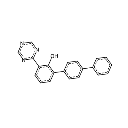 Oc1c(-c2ccc(-c3ccccc3)cc2)cccc1-c1ncncn1